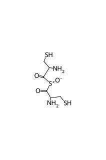 NC(CS)C(=O)[S+]([O-])C(=O)C(N)CS